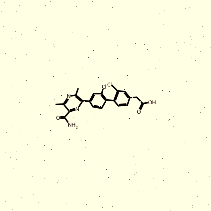 Cc1nc(C)c(-c2ccc(-c3ccc(CC(=O)O)cc3Cl)c(Cl)c2)nc1C(N)=O